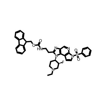 CCN1CC[C@@H](n2c(CCNC(=O)OCC3c4ccccc4-c4ccccc43)nc3cnc4c(ccn4S(=O)(=O)c4ccccc4)c32)[C@@H](F)C1